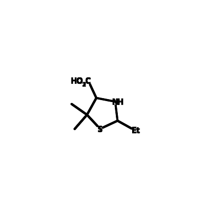 CCC1NC(C(=O)O)C(C)(C)S1